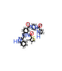 Cc1ccsc1C(=O)Nc1cc(C(=O)N2CCN(C(=O)C3CCCN3)CC2)ccc1C=Cc1n[nH]c2ccccc12